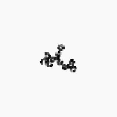 c1ccc(-c2ccc(N(c3ccc(-c4cccc(-n5c6ccccc6c6ccccc65)c4)cc3)c3ccc(C4(c5ccccc5)c5ccccc5-c5ccccc54)cc3)cc2)cc1